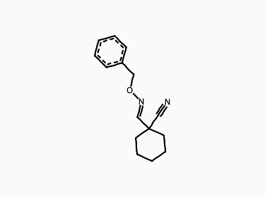 N#CC1(/C=N/OCc2ccccc2)CCCCC1